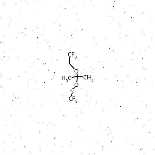 CC(C)(OCC(F)(F)F)OCC(F)(F)F